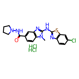 Cl.Cl.Cn1c(Nc2nc3ccc(Cl)cc3s2)nc2cc(C(=O)NN3CCCC3)ccc21